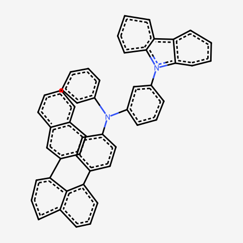 c1ccc(N(c2ccc(-c3cccc4cccc(-c5ccc6ccccc6c5)c34)cc2)c2cccc(-n3c4ccccc4c4ccccc43)c2)cc1